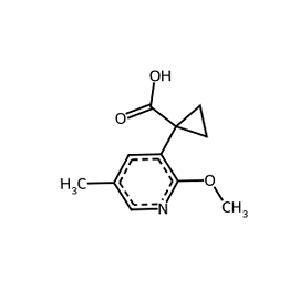 COc1ncc(C)cc1C1(C(=O)O)CC1